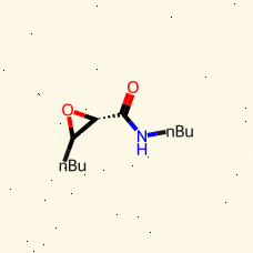 CCCCNC(=O)[C@H]1OC1CCCC